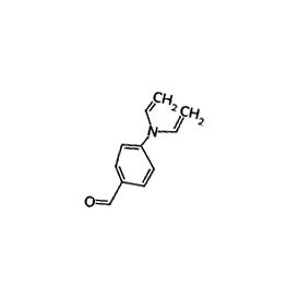 C=CN(C=C)c1ccc(C=O)cc1